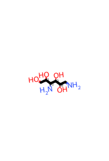 NC[C@H](O)[C@@H](O)[C@H](N)[C@H](O)CO